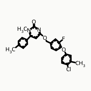 Cc1ccc(-c2cc(OCc3ccc(Oc4ccc(Cl)c(C)c4)c(F)c3)nc(=O)n2C)cc1